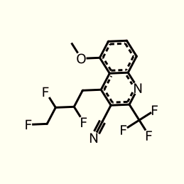 COc1cccc2nc(C(F)(F)F)c(C#N)c(CC(F)C(F)CF)c12